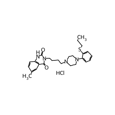 CCCSc1ccccc1N1CCN(CCCCn2c(=O)[nH]c3ccc(C)cc3c2=O)CC1.Cl